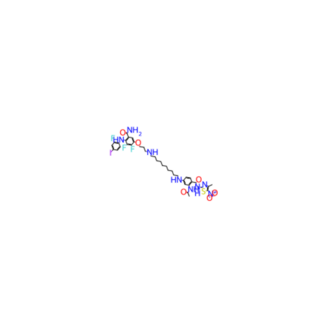 CC(=O)Nc1cc(NCCCCCCCCCCNCCCOc2cc(C(N)=O)c(Nc3ccc(I)cc3F)c(F)c2F)ccc1C(=O)Nc1nc(C)c([N+](=O)[O-])s1